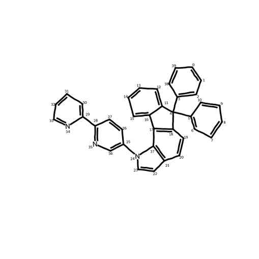 c1ccc(C2(c3ccccc3)c3ccccc3-c3c2ccc2ccn(-c4ccc(-c5ccccn5)nc4)c32)cc1